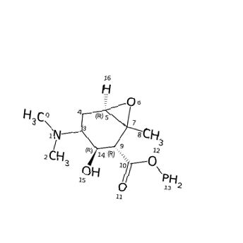 CN(C)C1C[C@H]2OC2(C)[C@H](C(=O)OP)[C@H]1O